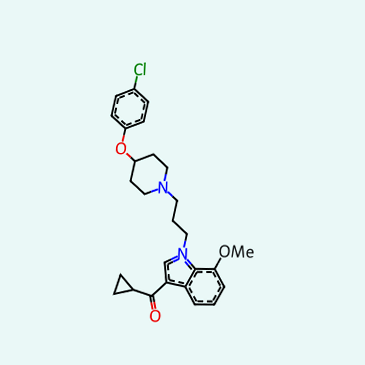 COc1cccc2c(C(=O)C3CC3)cn(CCCN3CCC(Oc4ccc(Cl)cc4)CC3)c12